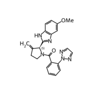 C=C1CCN(C(=O)c2ccccc2-n2nccn2)[C@@H]1c1nc2cc(OC)ccc2[nH]1